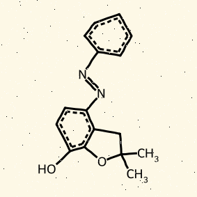 CC1(C)Cc2c(/N=N/c3ccccc3)ccc(O)c2O1